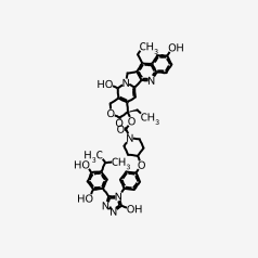 CCc1c2c(nc3ccc(O)cc13)C1=CC3=C(COC(=O)[C@@]3(CC)OC(=O)N3CCC(Oc4ccc(-n5c(O)nnc5-c5cc(C(C)C)c(O)cc5O)cc4)CC3)C(O)N1C2